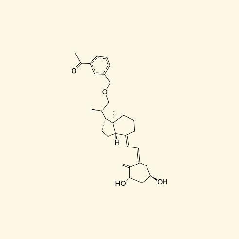 C=C1/C(=C\C=C2/CCC[C@]3(C)[C@@H]([C@@H](C)COCc4cccc(C(C)=O)c4)CC[C@@H]23)C[C@@H](O)C[C@@H]1O